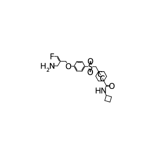 NC/C(=C\F)COc1ccc(S(=O)(=O)CC23CCC(C(=O)NC4CCC4)(CC2)CC3)cc1